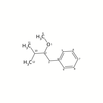 CO[C](Cc1ccccc1)C(C)C